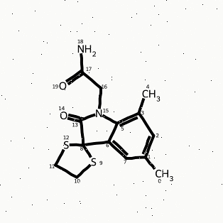 Cc1cc(C)c2c(c1)C1(SCCS1)C(=O)N2CC(N)=O